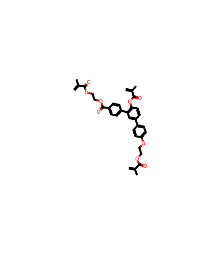 C=C(C)C(=O)OCCOC(=O)c1ccc(-c2cc(-c3ccc(OCCOC(=O)C(=C)C)cc3)ccc2OC(=O)C(=C)C)cc1